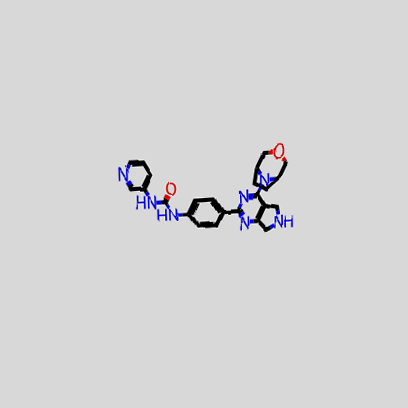 O=C(Nc1ccc(-c2nc3c(c(N4C5CCC4COC5)n2)CNC3)cc1)Nc1cccnc1